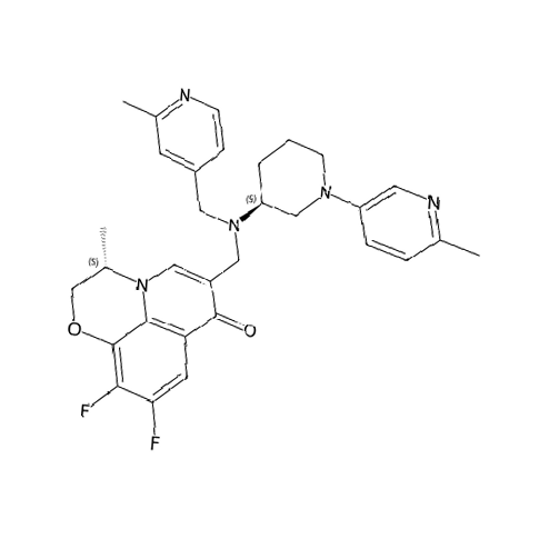 Cc1ccc(N2CCC[C@H](N(Cc3ccnc(C)c3)Cc3cn4c5c(c(F)c(F)cc5c3=O)OC[C@@H]4C)C2)cn1